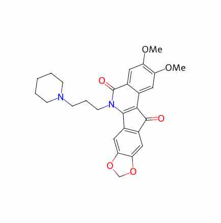 COc1cc2c3c(n(CCCN4CCCCC4)c(=O)c2cc1OC)-c1cc2c(cc1C3=O)OCO2